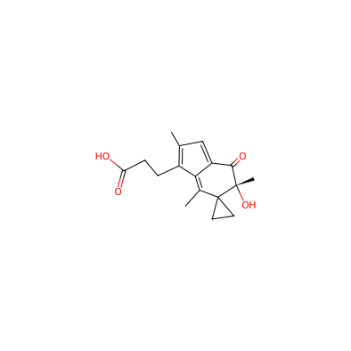 CC1=C(CCC(=O)O)C2=C(C)C3(CC3)[C@@](C)(O)C(=O)C2=C1